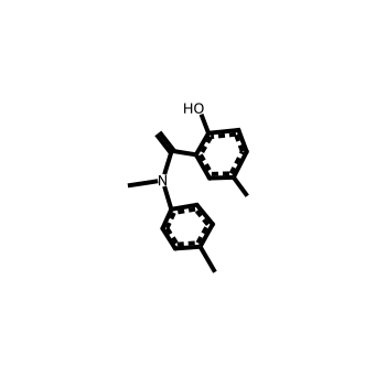 C=C(c1cc(C)ccc1O)N(C)c1ccc(C)cc1